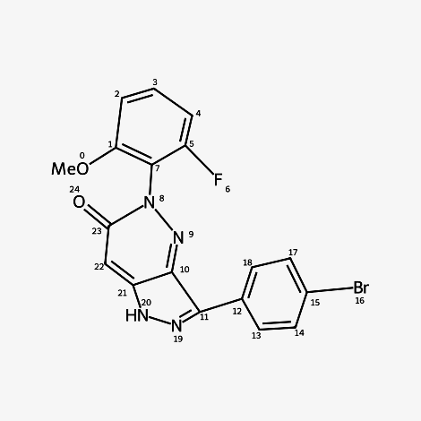 COc1cccc(F)c1-n1nc2c(-c3ccc(Br)cc3)n[nH]c2cc1=O